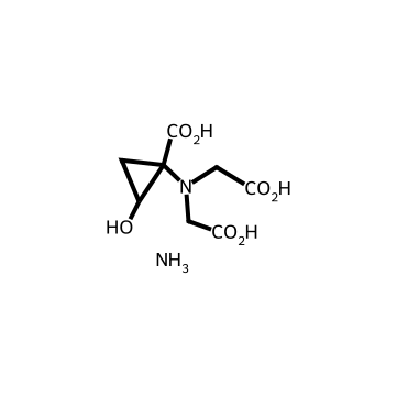 N.O=C(O)CN(CC(=O)O)C1(C(=O)O)CC1O